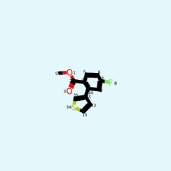 COC(=O)c1ccc(F)cc1-c1ccsc1